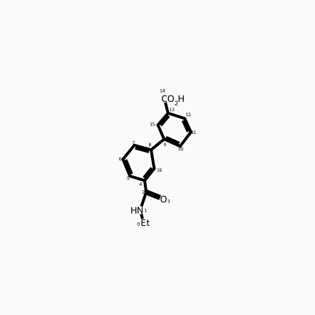 CCNC(=O)c1cccc(-c2cccc(C(=O)O)c2)c1